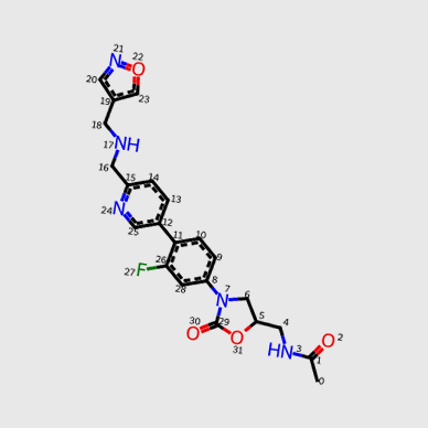 CC(=O)NCC1CN(c2ccc(-c3ccc(CNCc4cnoc4)nc3)c(F)c2)C(=O)O1